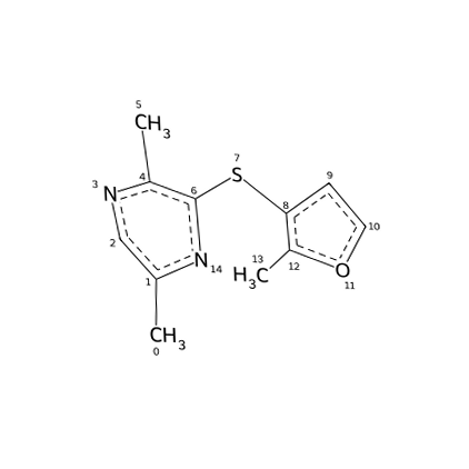 Cc1cnc(C)c(Sc2ccoc2C)n1